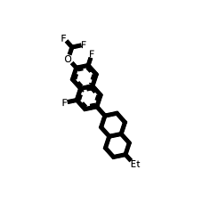 CCC1CCC2CC(c3cc(F)c4cc(OC(F)F)c(F)cc4c3)CCC2C1